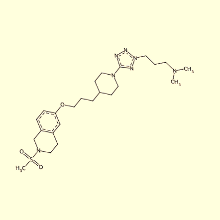 CN(C)CCCn1nnc(N2CCC(CCCOc3ccc4c(c3)CCN(S(C)(=O)=O)C4)CC2)n1